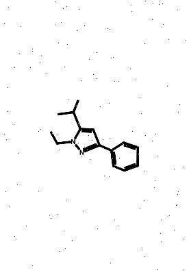 CCn1nc(-c2ccccc2)cc1C(C)C